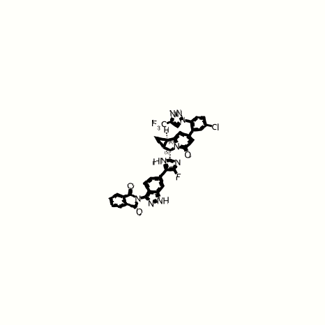 O=C1c2ccccc2C(=O)N1c1n[nH]c2cc(-c3[nH]c([C@@H]4C5C[C@H]5c5cc(-c6cc(Cl)ccc6-n6cc(C(F)(F)F)nn6)cc(=O)n54)nc3F)ccc12